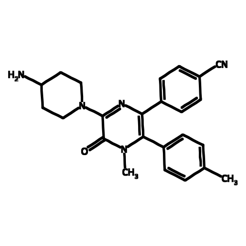 Cc1ccc(-c2c(-c3ccc(C#N)cc3)nc(N3CCC(N)CC3)c(=O)n2C)cc1